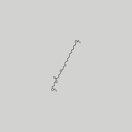 CCCCCCCCCCCOCCOCCCC(=O)OCCCC